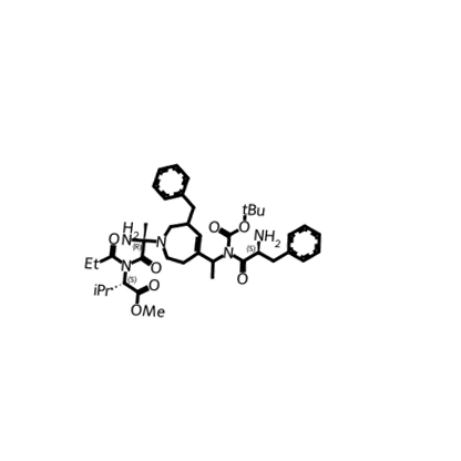 CCC(=O)N(C(=O)[C@](C)(N)N1CCC(C(C)N(C(=O)OC(C)(C)C)C(=O)[C@@H](N)Cc2ccccc2)=CC(Cc2ccccc2)C1)[C@H](C(=O)OC)C(C)C